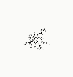 CCO[Si](OCC)(OCC)C(F)(F)C(F)C(F)(F)Br